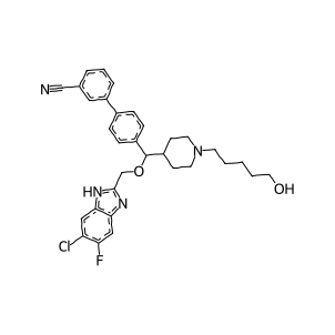 N#Cc1cccc(-c2ccc(C(OCc3nc4cc(F)c(Cl)cc4[nH]3)C3CCN(CCCCCO)CC3)cc2)c1